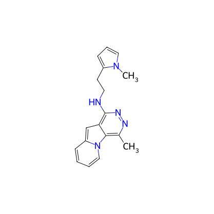 Cc1nnc(NCCc2cccn2C)c2cc3ccccn3c12